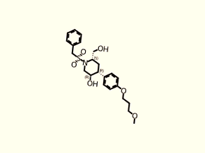 COCCCOc1ccc([C@H]2C[C@@H](CO)N(S(=O)(=O)Cc3ccccc3)C[C@@H]2O)cc1